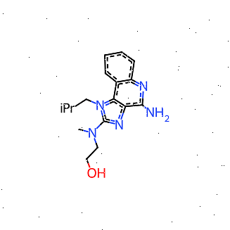 CC(C)Cn1c(N(C)CCO)nc2c(N)nc3ccccc3c21